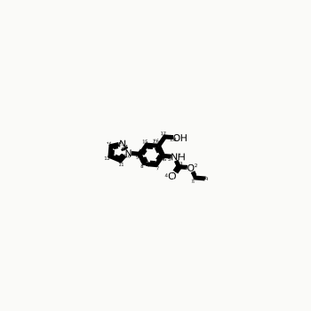 CCOC(=O)Nc1ccc(-n2cccn2)cc1CO